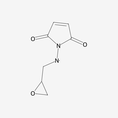 O=C1C=CC(=O)N1[N]CC1CO1